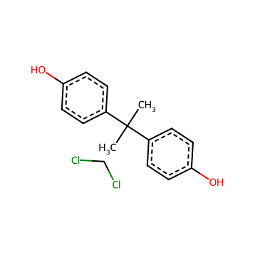 CC(C)(c1ccc(O)cc1)c1ccc(O)cc1.ClCCl